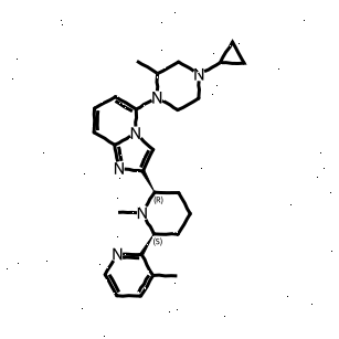 Cc1cccnc1[C@@H]1CCC[C@H](c2cn3c(N4CCN(C5CC5)CC4C)cccc3n2)N1C